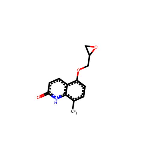 O=c1ccc2c(OCC3CO3)ccc(C(F)(F)F)c2[nH]1